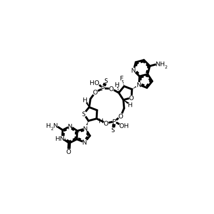 Nc1nc2c(ncn2[C@@H]2S[C@@H]3COP(O)(=S)O[C@H]4[C@H](F)[C@H](n5ccc6c(N)ccnc65)O[C@@H]4COP(O)(=S)O[C@@H]2C3)c(=O)[nH]1